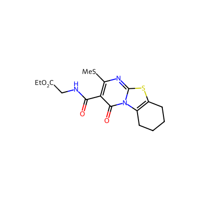 CCOC(=O)CNC(=O)c1c(SC)nc2sc3c(n2c1=O)CCCC3